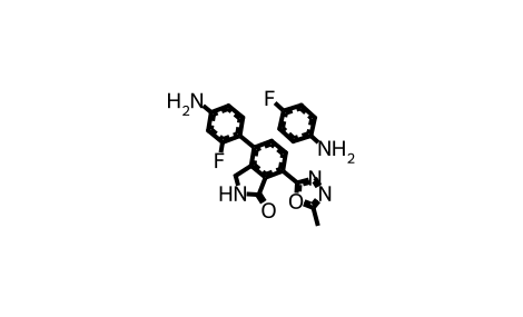 Cc1nnc(-c2ccc(-c3ccc(N)cc3F)c3c2C(=O)NC3)o1.Nc1ccc(F)cc1